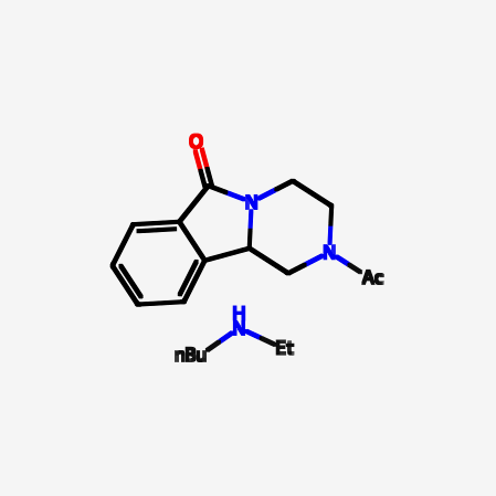 CC(=O)N1CCN2C(=O)c3ccccc3C2C1.CCCCNCC